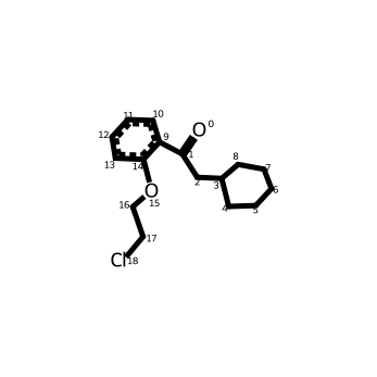 O=C(CC1CCCCC1)c1ccccc1OCCCl